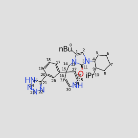 CCCCc1cn(C2CCCCC2C(C)C)c(=O)n1CC1(c2cccc(-c3nnn[nH]3)c2)C=CNC=C1